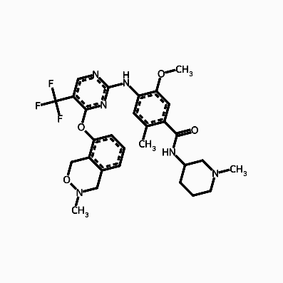 COc1cc(C(=O)NC2CCCN(C)C2)c(C)cc1Nc1ncc(C(F)(F)F)c(Oc2cccc3c2CON(C)C3)n1